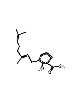 CC(C)=CCC/C(C)=C/Cc1cccc(C(=O)S)c1O